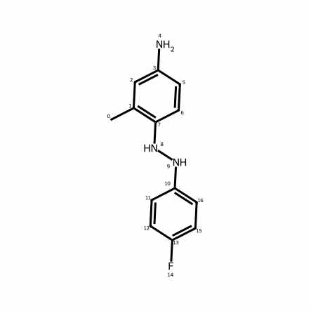 Cc1cc(N)ccc1NNc1ccc(F)cc1